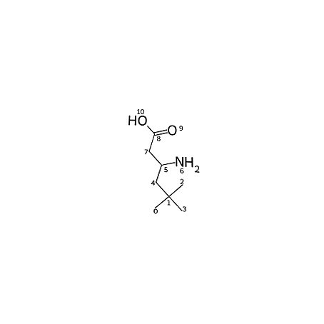 CC(C)(C)CC(N)CC(=O)O